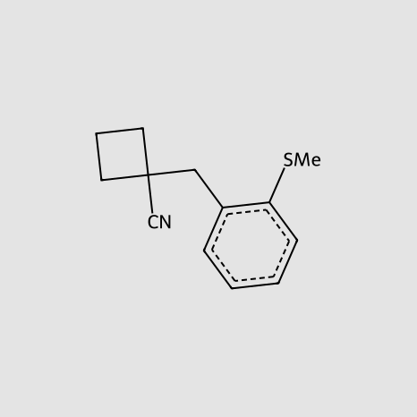 CSc1ccccc1CC1(C#N)CCC1